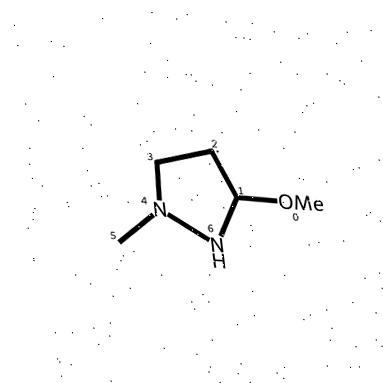 COC1[CH]CN(C)N1